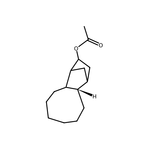 CC(=O)OC1CC2CC1C1CCCCCC[C@@H]21